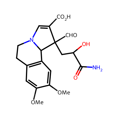 COc1cc2c(cc1OC)C1N(C=C(C(=O)O)C1(C=O)CC(O)C(N)=O)CC2